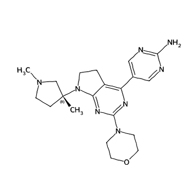 CN1CC[C@@](C)(N2CCc3c(-c4cnc(N)nc4)nc(N4CCOCC4)nc32)C1